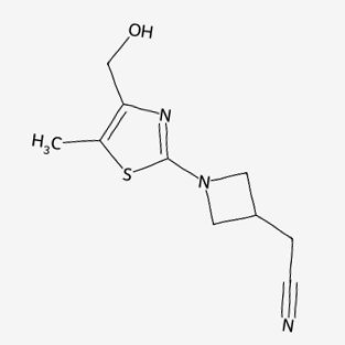 Cc1sc(N2CC(CC#N)C2)nc1CO